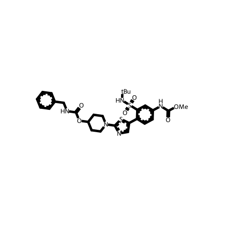 COC(=O)Nc1ccc(-c2cnc(N3CCC(OC(=O)NCc4ccccc4)CC3)s2)c(S(=O)(=O)NC(C)(C)C)c1